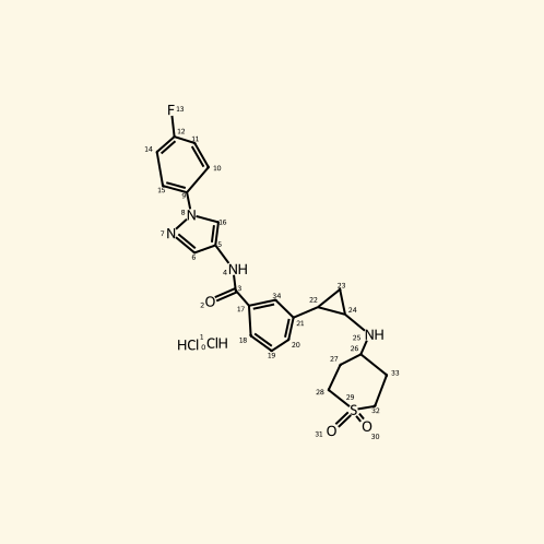 Cl.Cl.O=C(Nc1cnn(-c2ccc(F)cc2)c1)c1cccc(C2CC2NC2CCS(=O)(=O)CC2)c1